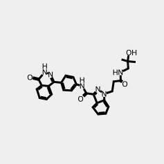 CC(C)(O)CNC(=O)CCn1nc(C(=O)Nc2ccc(-c3n[nH]c(=O)c4ccccc34)cc2)c2ccccc21